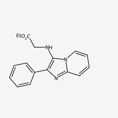 CCOC(=O)CNc1c(-c2ccccc2)nc2ccccn12